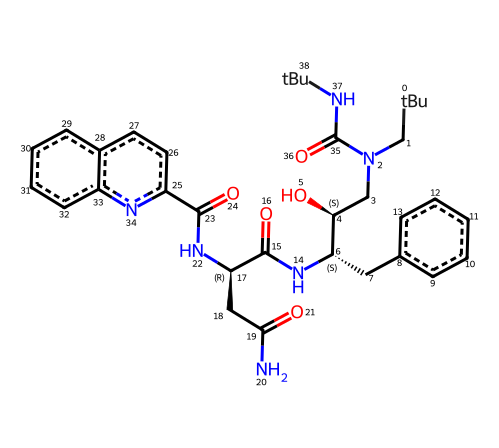 CC(C)(C)CN(C[C@H](O)[C@H](Cc1ccccc1)NC(=O)[C@@H](CC(N)=O)NC(=O)c1ccc2ccccc2n1)C(=O)NC(C)(C)C